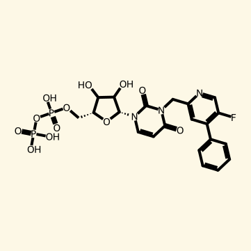 O=c1ccn([C@@H]2O[C@H](COP(=O)(O)OP(=O)(O)O)C(O)C2O)c(=O)n1Cc1cc(-c2ccccc2)c(F)cn1